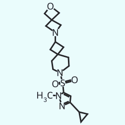 Cn1nc(C2CC2)cc1S(=O)(=O)N1CCC2(CC1)CC(N1CC3(COC3)C1)C2